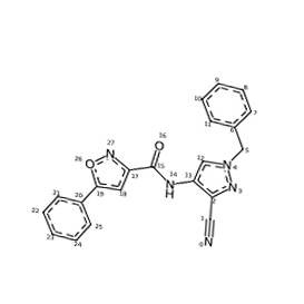 N#Cc1nn(Cc2ccccc2)cc1NC(=O)c1cc(-c2ccccc2)on1